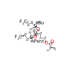 C=C(C)C(=O)OCCC[Si](C)(O[Si](C)(CCCC)CCC(F)(F)F)O[Si](C)(CCCCC)CCC(F)(F)F